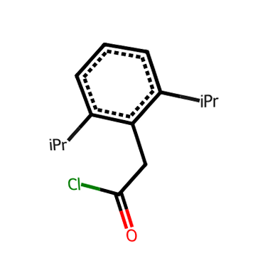 CC(C)c1cccc(C(C)C)c1CC(=O)Cl